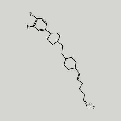 C=CCCCC=CC1CCC(CCC2CCC(c3ccc(F)c(F)c3)CC2)CC1